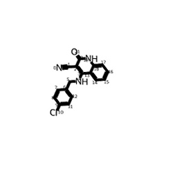 N#Cc1c(NCc2ccc(Cl)cc2)c2ccccc2[nH]c1=O